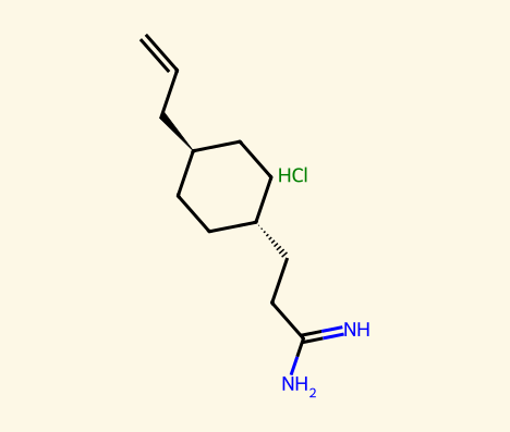 C=CC[C@H]1CC[C@H](CCC(=N)N)CC1.Cl